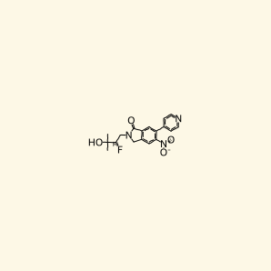 CC(C)(O)[C@H](F)CN1Cc2cc([N+](=O)[O-])c(-c3ccncc3)cc2C1=O